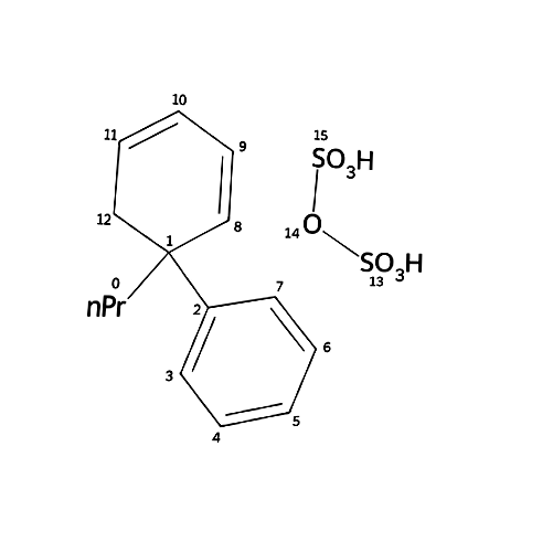 CCCC1(c2ccccc2)C=CC=CC1.O=S(=O)(O)OS(=O)(=O)O